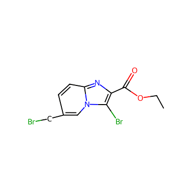 CCOC(=O)c1nc2ccc(CBr)cn2c1Br